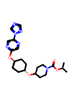 CC(C)OC(=O)N1CCC(O[C@H]2CC[C@H](Oc3cnc(-n4cncn4)cn3)CC2)CC1